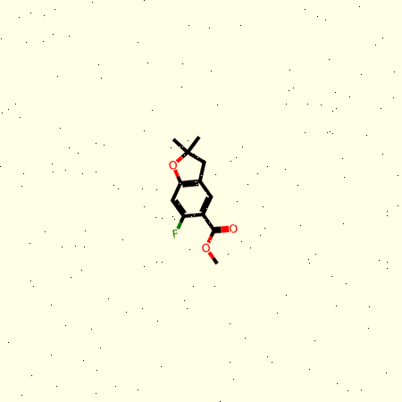 COC(=O)c1cc2c(cc1F)OC(C)(C)C2